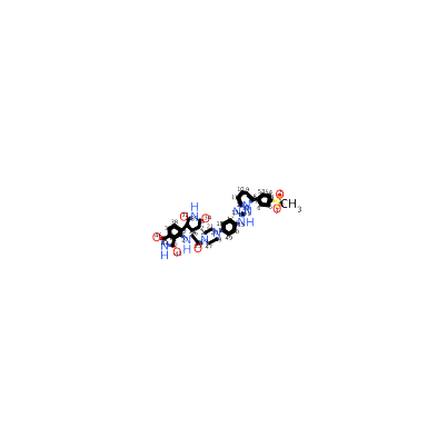 CS(=O)(=O)c1ccc(-c2cccc3nc(Nc4ccc(N5CCN(C(=O)CNc6c(C7CCC(=O)NC7=O)ccc7c6C(=O)NC7=O)CC5)cc4)nn23)cc1